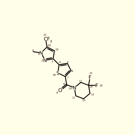 Cn1nc(-c2ccc(C(=O)N3CCCC(F)(F)C3)s2)cc1C(F)(F)F